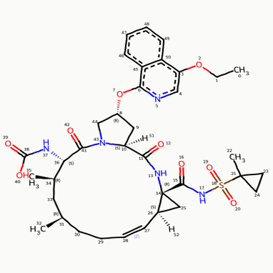 CCOc1cnc(O[C@@H]2C[C@H]3C(=O)N[C@]4(C(=O)NS(=O)(=O)C5(C)CC5)C[C@H]4/C=C\CC[C@@H](C)C[C@@H](C)[C@H](NC(=O)O)C(=O)N3C2)c2ccccc12